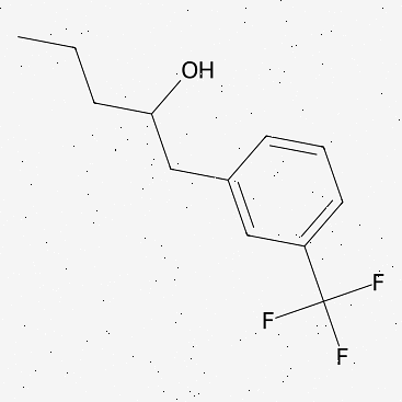 CCCC(O)Cc1cccc(C(F)(F)F)c1